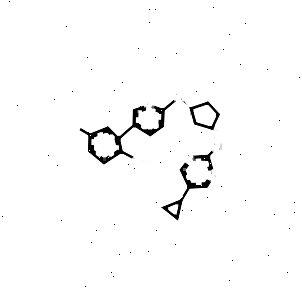 Oc1ccc(F)cc1-c1ccc(N[C@H]2CC[C@H](Nc3ncc(C4CC4)cn3)C2)nc1